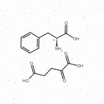 N[C@@H](Cc1ccccc1)C(=O)O.O=C(O)CCC(=O)C(=O)O